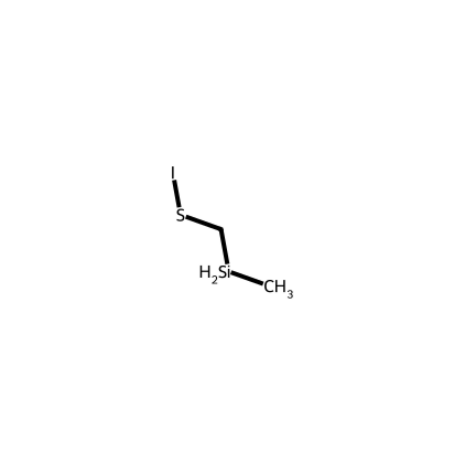 C[SiH2]CSI